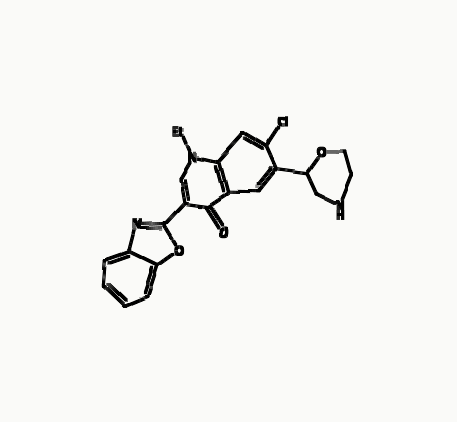 CCn1cc(-c2nc3ccccc3o2)c(=O)c2cc(C3CNCCO3)c(Cl)cc21